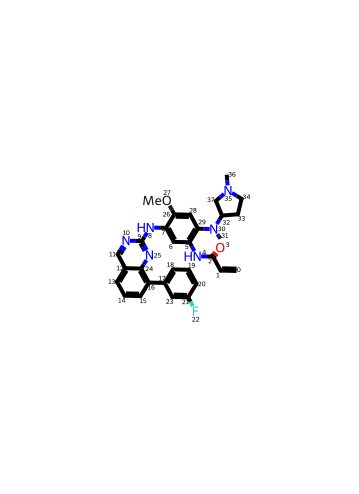 C=CC(=O)Nc1cc(Nc2ncc3cccc(-c4cccc(F)c4)c3n2)c(OC)cc1N(C)C1CCN(C)C1